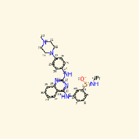 CC(C)N[S+]([O-])c1cccc(Nc2nc(Nc3ccc(N4CCN(C)CC4)cc3)nc3ccccc23)c1